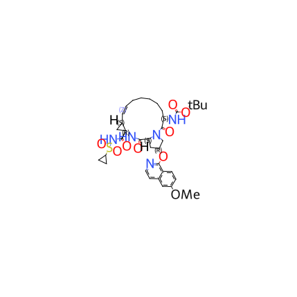 COc1ccc2c(O[C@@H]3C[C@H]4C(=O)N[C@]5(C(=O)NS(=O)(=O)C6CC6)C[C@H]5/C=C\CCCCC[C@H](NC(=O)OC(C)(C)C)C(=O)N4C3)nccc2c1